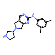 Cc1cc(C)cc(Nc2ncc3c(n2)CN(C2CCNC2)C3)c1